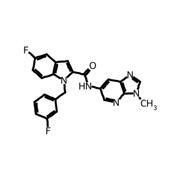 Cn1cnc2cc(NC(=O)c3cc4cc(F)ccc4n3Cc3cccc(F)c3)cnc21